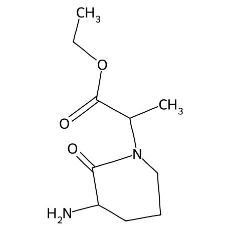 CCOC(=O)C(C)N1CCCC(N)C1=O